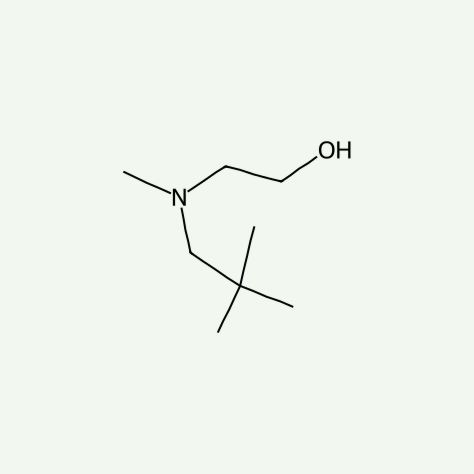 CN(CCO)CC(C)(C)C